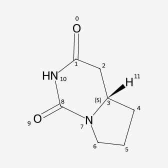 O=C1C[C@@H]2CCCN2C(=O)N1